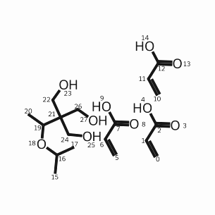 C=CC(=O)O.C=CC(=O)O.C=CC(=O)O.CC(C)OC(C)C(CO)(CO)CO